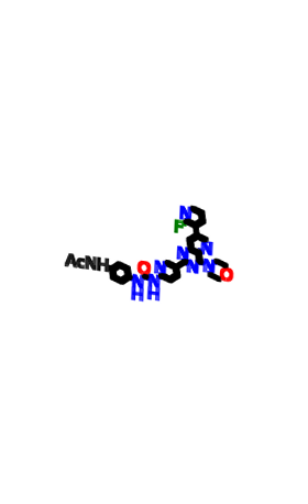 CC(=O)Nc1ccc(NC(=O)Nc2ccc(-c3nc(N4CCOCC4)c4ncc(-c5cccnc5F)cc4n3)cn2)cc1